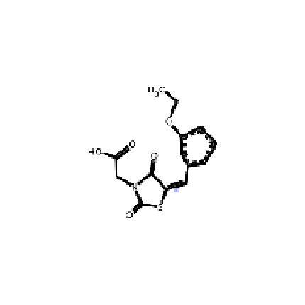 CCOc1cccc(/C=C2/SC(=O)N(CC(=O)O)C2=O)c1